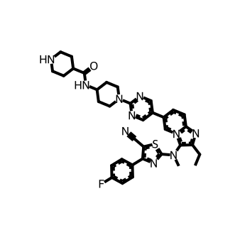 CCc1nc2ccc(-c3cnc(N4CCC(NC(=O)C5CCNCC5)CC4)nc3)cn2c1N(C)c1nc(-c2ccc(F)cc2)c(C#N)s1